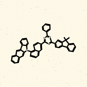 CC1(C)c2ccccc2-c2ccc(-c3nc(-c4ccccc4)nc(-c4ccc5c(-n6c7ccccc7c7cc8ccccc8cc76)cccc5c4)n3)cc21